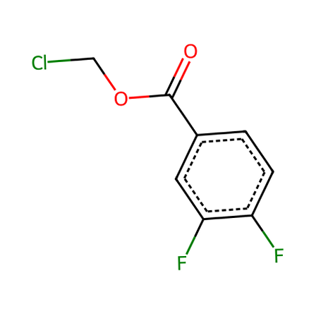 O=C(OCCl)c1ccc(F)c(F)c1